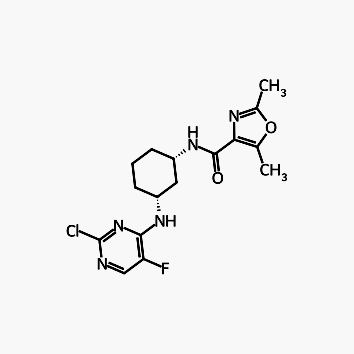 Cc1nc(C(=O)N[C@H]2CCC[C@@H](Nc3nc(Cl)ncc3F)C2)c(C)o1